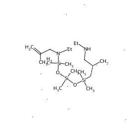 C=C(C)CN(CC)[Si](C)(C)O[Si](C)(C)O[Si](C)(C)CC(C)CNCC